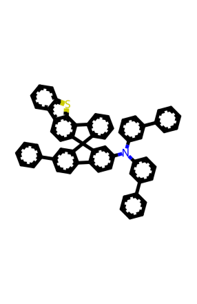 c1ccc(-c2cccc(N(c3cccc(-c4ccccc4)c3)c3ccc4c(c3)C3(c5cc(-c6ccccc6)ccc5-4)c4ccccc4-c4c3ccc3c4sc4ccccc43)c2)cc1